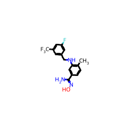 Cc1ccc(C(N)=NO)cc1NCc1cc(F)cc(C(F)(F)F)c1